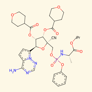 CC(C)OC(=O)[C@H](C)NP(=O)(OC[C@@]1(C#N)O[C@@H](c2ccc3c(N)ncnn23)[C@H](OC(=O)C2CCOCC2)[C@@H]1OC(=O)C1CCOCC1)Oc1ccccc1